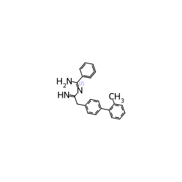 Cc1ccccc1-c1ccc(CC(=N)/N=C(\N)C2=C=C=CC=C2)cc1